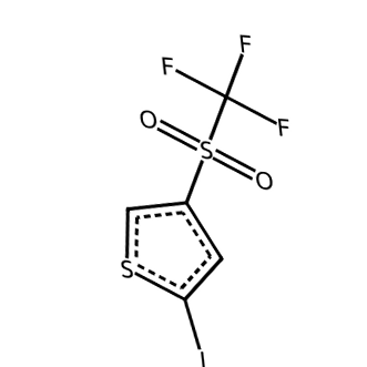 O=S(=O)(c1csc(I)c1)C(F)(F)F